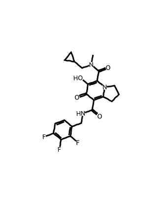 CN(CC1CC1)C(=O)c1c(O)c(=O)c(C(=O)NCc2ccc(F)c(F)c2F)c2n1CCC2